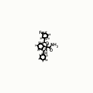 NC(=O)C(NCc1ccccc1)(OCc1cccc(F)c1)c1ccccc1